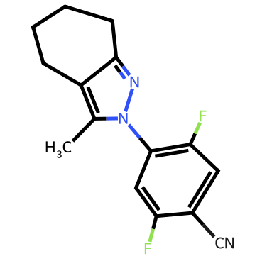 Cc1c2c(nn1-c1cc(F)c(C#N)cc1F)CCCC2